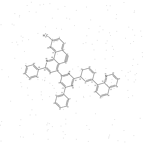 Cc1ccc2c#cc3c(-c4cc(-c5ccccc5)nc(C5C=C(c6cccc7cccnc67)C=CC5)n4)cc(-c4ccccc4)nc3c2n1